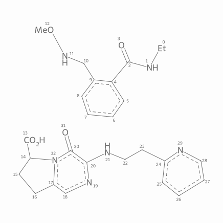 CCNC(=O)c1ccccc1CNOC.O=C(O)C1CCc2cnc(NCCc3ccccn3)c(=O)n21